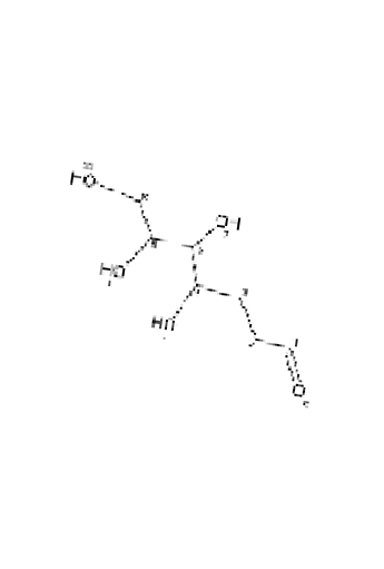 O=CCCC(O)C(O)C(O)CO